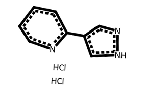 Cl.Cl.c1ccc(-c2cn[nH]c2)nc1